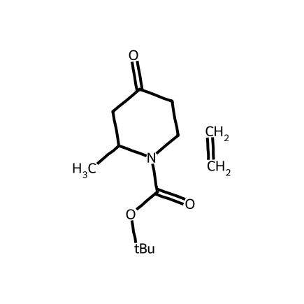 C=C.CC1CC(=O)CCN1C(=O)OC(C)(C)C